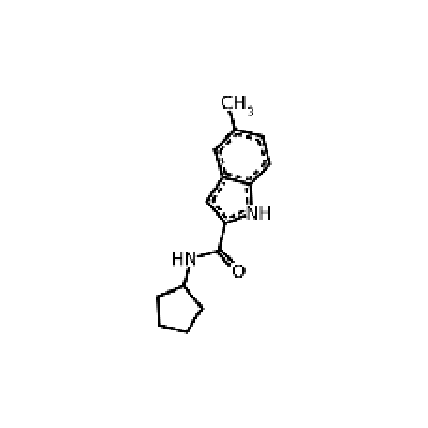 Cc1ccc2[nH]c(C(=O)NC3CCCC3)cc2c1